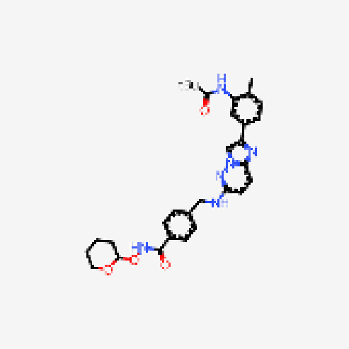 Cc1ccc(-c2cn3nc(NCc4ccc(C(=O)NOC5CCCCO5)cc4)ccc3n2)cc1NC(=O)C(C)(C)C